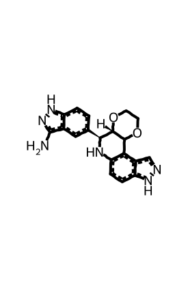 Nc1n[nH]c2ccc([C@@H]3Nc4ccc5[nH]ncc5c4C4OCCO[C@H]43)cc12